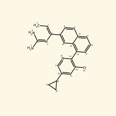 C/C=C(\N=C(N)N)c1ccc2cccc(-c3ncc(C4CC4)cc3Cl)c2c1